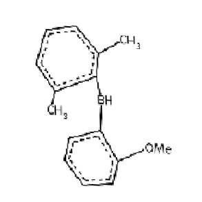 COc1ccccc1Bc1c(C)cccc1C